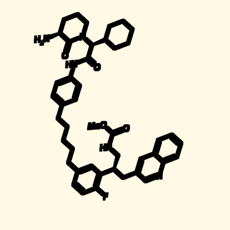 COC(=O)NC[C@@H](Cc1cnc2ccccc2c1)c1cc(CCCCCc2ccc(NC(=O)[C@H](C3CCCCC3)N3CCC[C@H](N)C3=O)cc2)ccc1F